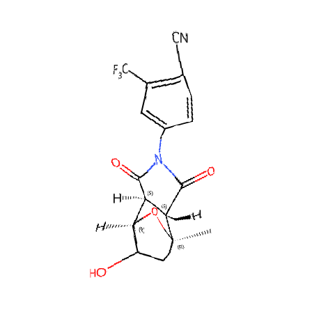 C[C@]12CC(O)[C@H](O1)[C@H]1C(=O)N(c3ccc(C#N)c(C(F)(F)F)c3)C(=O)[C@@H]12